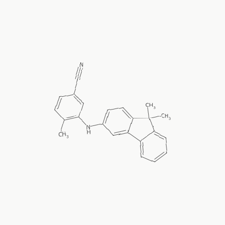 Cc1ccc(C#N)cc1Nc1ccc2c(c1)-c1ccccc1C2(C)C